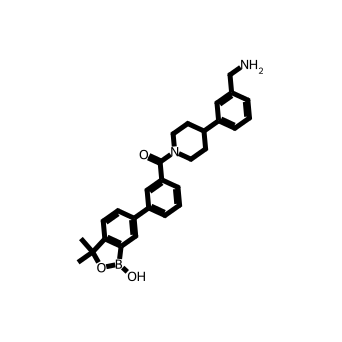 CC1(C)OB(O)c2cc(-c3cccc(C(=O)N4CCC(c5cccc(CN)c5)CC4)c3)ccc21